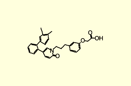 Cc1ccc(-c2ccccc2-c2ccc(=O)n(CCCc3cccc(OCC(=O)O)c3)c2)cc1C